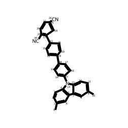 Cc1ccc2c(c1)c1cc(C)ccc1n2-c1ccc(-c2ccc(-c3cc(C#N)ccc3C#N)cc2)cc1